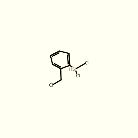 ClCc1ccccc1[SiH](Cl)Cl